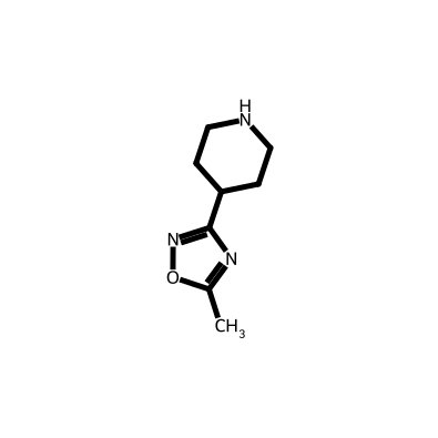 Cc1nc(C2CCNCC2)no1